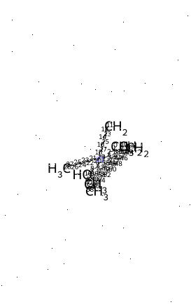 CCCCCCCCCCO.[CH2]CCCCCCC/C=C\CCCCCCCC.[CH2]CCCCCCCCCCCCC.[CH2]CCCCCCCCCCCCCCC